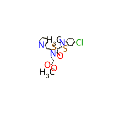 COC(=O)CCn1c(=O)/c(=C2\Sc3cc(Cl)ccc3N2C)s/c1=C\c1ccccn1